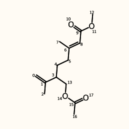 C=C(C)C(CC/C(C)=C/C(=O)OC)COC(C)=O